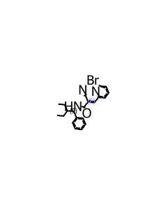 CCC(CC)[C@H](NC(=O)/C(C#N)=C/c1cccc(Br)n1)c1ccccc1